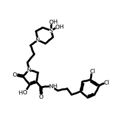 O=C(NCCCc1ccc(Cl)c(Cl)c1)C1=C(O)C(=O)N(CCCN2CCS(O)(O)CC2)C1